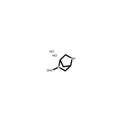 Cl.Cl.O=CN1CC2CC1CN2